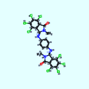 BN1C(=O)c2c(Cl)c(Cl)c(Cl)c(Cl)c2/C1=N/c1ccc(/N=C2/c3c(Cl)c(Cl)c(Cl)c(Cl)c3C(=O)N2B)cc1